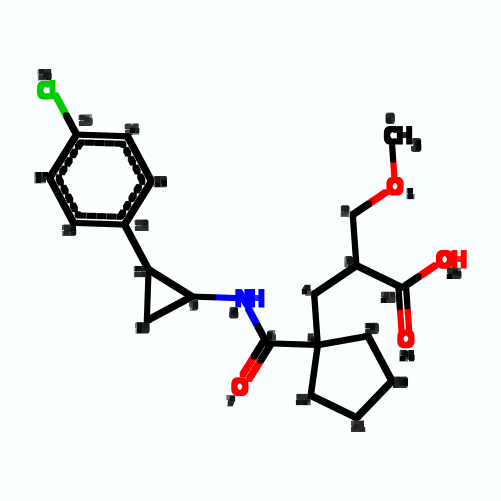 COCC(CC1(C(=O)NC2CC2c2ccc(Cl)cc2)CCCC1)C(=O)O